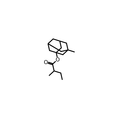 CCC(C)C(=O)OC12CC3CC(CC(C)(C3)C1)C2